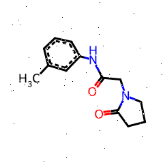 Cc1cccc(NC(=O)CN2CCCC2=O)c1